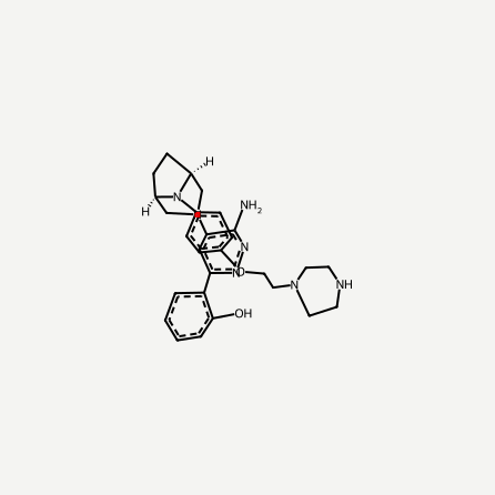 Nc1nnc(-c2ccccc2O)cc1N1C[C@H]2CC[C@@H](C1)N2c1ccc(OCCN2CCNCC2)cc1